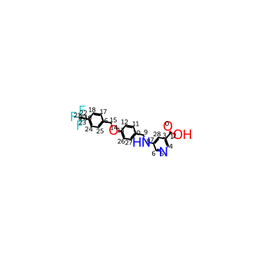 O=C(O)c1cncc(NCc2ccc(OCc3ccc(C(F)(F)F)cc3)cc2)c1